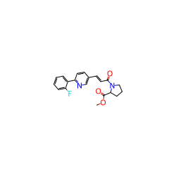 COC(=O)C1CCCN1C(=O)/C=C/c1ccc(-c2ccccc2F)nc1